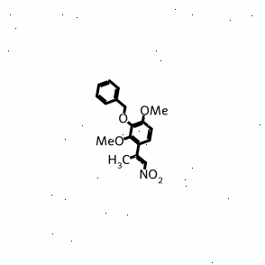 COc1ccc(/C(C)=C/[N+](=O)[O-])c(OC)c1OCc1ccccc1